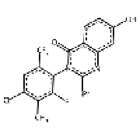 Cc1c(Cl)cc(C(F)(F)F)c(-n2c(C(C)C)nc3cc(O)ccc3c2=O)c1F